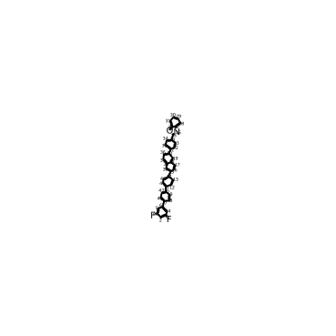 Fc1cc(F)cc(-c2ccc(-c3ccc(-c4ccc5cc(-c6ccc(-c7nc8ccccc8o7)cc6)ccc5c4)cc3)cc2)c1